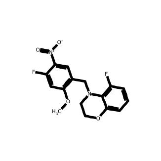 COc1cc(F)c([N+](=O)[O-])cc1CN1CCOc2cccc(F)c21